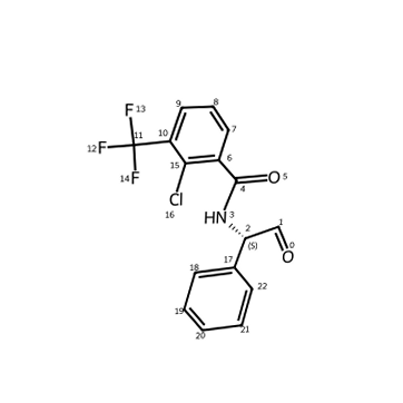 O=C[C@@H](NC(=O)c1cccc(C(F)(F)F)c1Cl)c1ccccc1